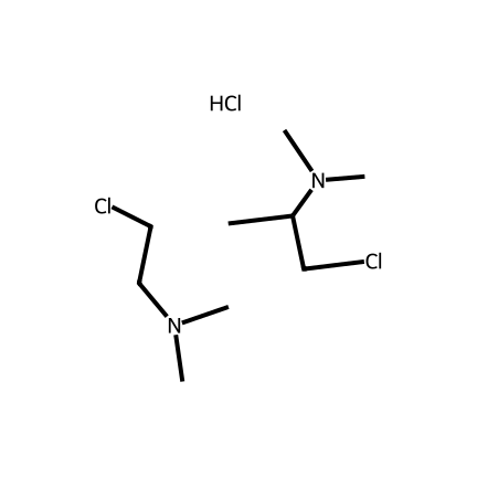 CC(CCl)N(C)C.CN(C)CCCl.Cl